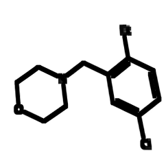 [CH2-][CH+]c1ccc(Cl)cc1CN1CCOCC1